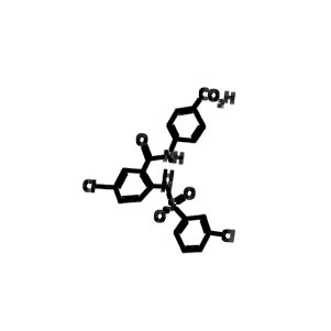 O=C(O)c1ccc(NC(=O)c2cc(Cl)ccc2NS(=O)(=O)c2cccc(Cl)c2)cc1